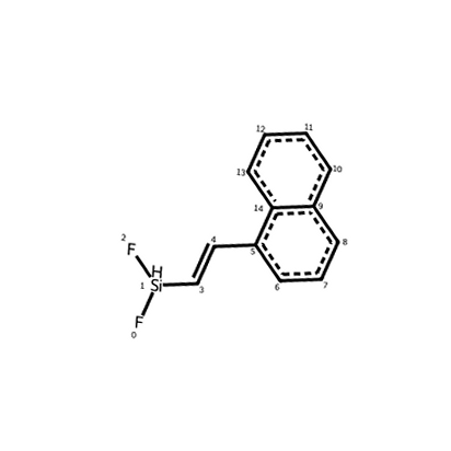 F[SiH](F)C=Cc1cccc2ccccc12